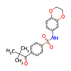 CC(C)(C)C(=O)c1ccc(S(=O)(=O)Nc2ccc3c(c2)OCCO3)cc1